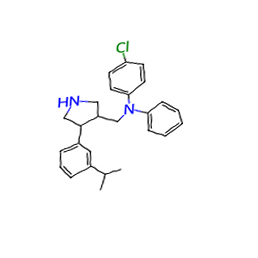 CC(C)c1cccc(C2CNCC2CN(c2ccccc2)c2ccc(Cl)cc2)c1